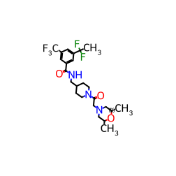 CC1CN(CC(=O)N2CCC(CNC(=O)c3cc(C(C)(F)F)cc(C(F)(F)F)c3)CC2)C[C@@H](C)O1